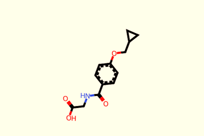 O=C(O)CNC(=O)c1ccc(OCC2CC2)cc1